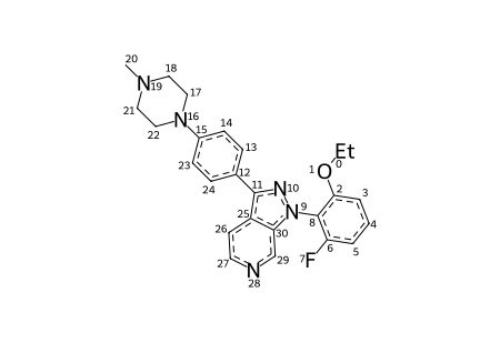 CCOc1cccc(F)c1-n1nc(-c2ccc(N3CCN(C)CC3)cc2)c2ccncc21